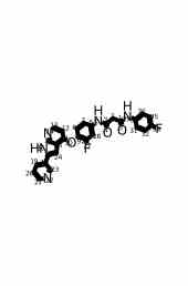 O=C(CC(=O)Nc1ccc(Oc2ccnc3[nH]c(-c4cccnc4)cc23)c(F)c1)Nc1ccc(F)cc1